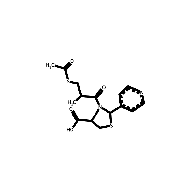 CC(=O)SCC(C)C(=O)N1C(C(=O)O)CSC1c1ccncc1